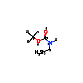 CN(C[SiH3])C(=O)OC(C)(C)C